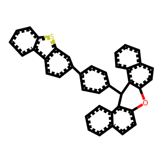 c1ccc2c3c(ccc2c1)Oc1ccc2ccccc2c1C3c1ccc(-c2ccc3c(c2)sc2ccccc23)cc1